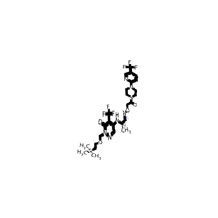 C[C@@H](/C=N/OCC(=O)N1CCN(c2ccc(C(F)(F)F)cn2)CC1)Nc1cnn(COCC[Si](C)(C)C)c(=O)c1C(F)(F)F